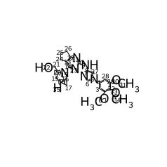 COc1cc(-n2cnc(Nc3nc4c(c(N5C6C[C@@H]6C[C@H]5CO)n3)CCC4)c2)cc(OC)c1OC